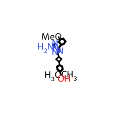 COc1cccc2c1nc(N)n1nc(C3CC(c4ccc(C(C)(C)O)cc4)C3)nc21